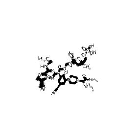 CCNc1nc(N(C(=O)OCOC(=O)CC(C)(C)COP(=O)(O)O)c2cc(C#N)cc(N3CCN(C(C)C(N)=O)CC3)c2Cl)nn2c(C#N)cnc12